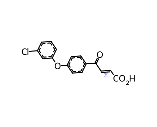 O=C(O)/C=C/C(=O)c1ccc(Oc2cccc(Cl)c2)cc1